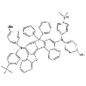 C[SiH](C)c1ccc(N(c2ccc(C(C)(C)C)cc2)c2cc3c(c4ccccc24)-c2c(cc(N(c4ccc(C(C)(C)C)cc4)c4ccc([Si](C)(C)C)cc4)c4c2oc2ccccc24)C3(c2ccccc2)c2ccccc2)cc1